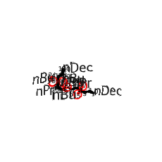 CCCCCCCCCCCCCC(OCCCC)(OCCCC)C(CCC)COCC(CCC)C(CCCCCCCCCCCCC)(OCCCC)OCCCC